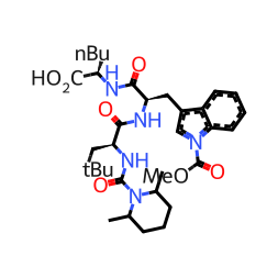 CCCC[C@@H](NC(=O)[C@@H](Cc1cn(C(=O)OC)c2ccccc12)NC(=O)[C@H](CC(C)(C)C)NC(=O)N1C(C)CCCC1C)C(=O)O